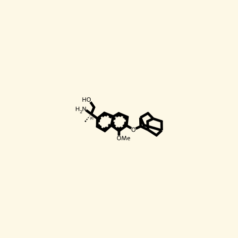 COc1c(OC2C3CC4CC(C3)CC2C4)ccc2cc([C@@](C)(N)CO)ccc12